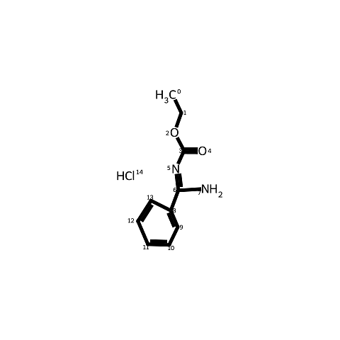 CCOC(=O)N=C(N)c1ccccc1.Cl